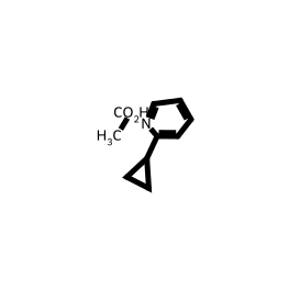 CC(=O)O.c1ccc(C2CC2)nc1